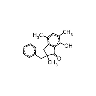 Cc1cc(C)c2c(c1O)C(=O)C(C)(Cc1ccccc1)C2